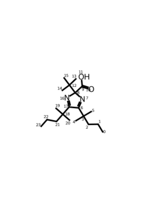 CCCC(C)(C)C1=NC(C(=O)O)(C(C)(C)C)N=C1C(C)(C)CCC